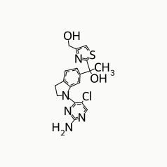 CC(O)(c1ccc2c(c1)N(c1nc(N)ncc1Cl)CC2)c1nc(CO)cs1